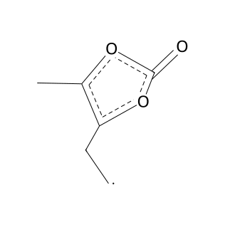 [CH2]Cc1oc(=O)oc1C